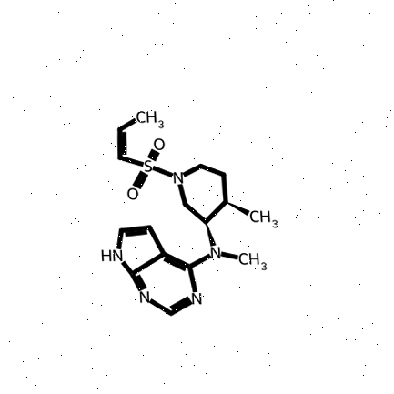 C/C=C\S(=O)(=O)N1CC[C@@H](C)[C@@H](N(C)c2ncnc3[nH]ccc23)C1